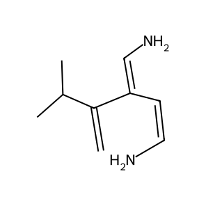 C=C(C(/C=C\N)=C/N)C(C)C